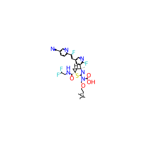 C[C@]1(c2cc(/C=C(\F)c3ccc(C#N)cn3)cnc2F)N=C(N(COCC[Si](C)(C)C)C(=O)O)S[C@@]2(C(=O)NCC(F)F)C[C@H]21